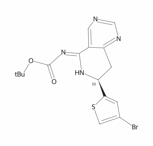 CC(C)(C)OC(=O)N=C1N[C@H](c2cc(Br)cs2)Cc2ncncc21